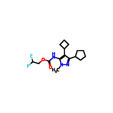 Cn1nc(C2CCCC2)c(C2CCC2)c1NC(=O)OCC(F)F